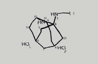 Cl.Cl.INC12CC3CC(CC(C3)N1)C2